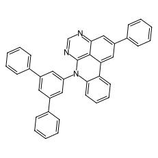 c1ccc(-c2cc(-c3ccccc3)cc(N3c4ccccc4-c4cc(-c5ccccc5)cc5ncnc3c45)c2)cc1